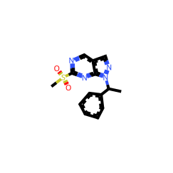 CC(c1ccccc1)n1ncc2cnc(S(C)(=O)=O)nc21